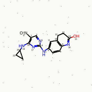 O=[N+]([O-])c1cnc(Nc2ccc3c(c2)CCC(O)=N3)nc1NC1CC1